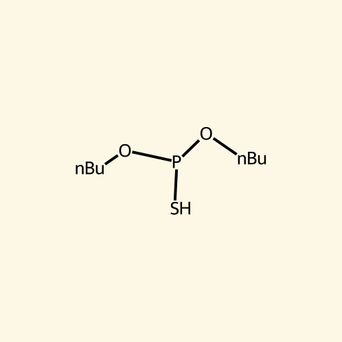 CCCCOP(S)OCCCC